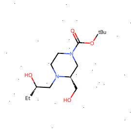 CC[C@@H](O)CN1CCN(C(=O)OC(C)(C)C)C[C@H]1CO